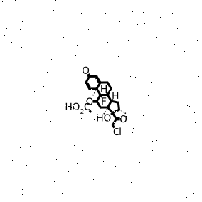 CC(=O)O.C[C@H]1C[C@H]2[C@@H]3CCC4=CC(=O)C=C[C@]4(C)[C@@]3(F)C(=O)C[C@]2(C)[C@@]1(O)C(=O)CCl